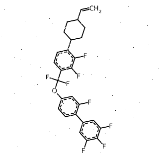 C=CC1CCC(c2ccc(C(F)(F)Oc3ccc(-c4cc(F)c(F)c(F)c4)c(F)c3)c(F)c2F)CC1